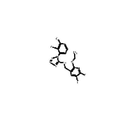 Fc1cc(CNc2nnnn2-c2cccc(Cl)c2Cl)c(OCC(F)(F)F)nc1Cl